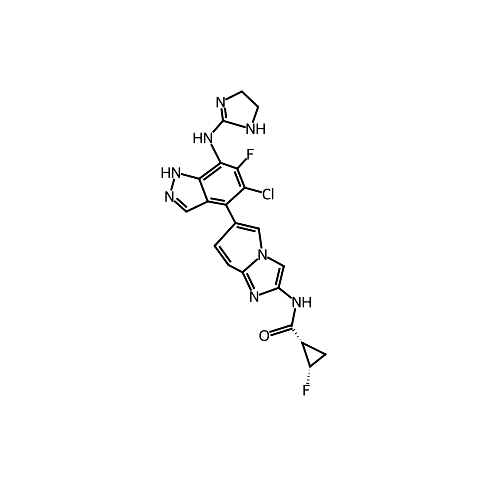 O=C(Nc1cn2cc(-c3c(Cl)c(F)c(NC4=NCCN4)c4[nH]ncc34)ccc2n1)[C@@H]1C[C@@H]1F